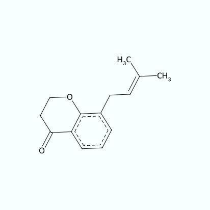 CC(C)=CCc1cccc2c1OCCC2=O